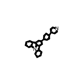 c1ccc2c(c1)c1cc(-c3ccc(-c4ccncc4)cc3)cc3c4ccccc4n2c13